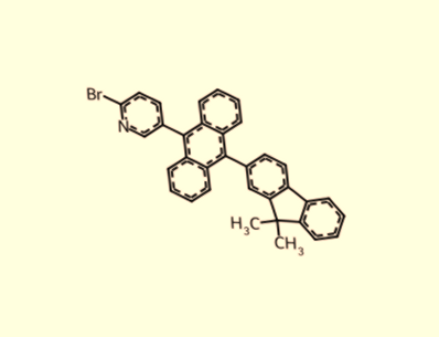 CC1(C)c2ccccc2-c2ccc(-c3c4ccccc4c(-c4ccc(Br)nc4)c4ccccc34)cc21